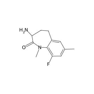 Cc1cc(F)c2c(c1)CCC(N)C(=O)N2C